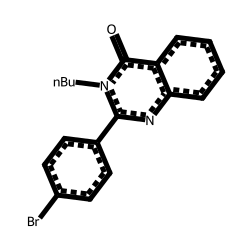 CCCCn1c(-c2ccc(Br)cc2)nc2ccccc2c1=O